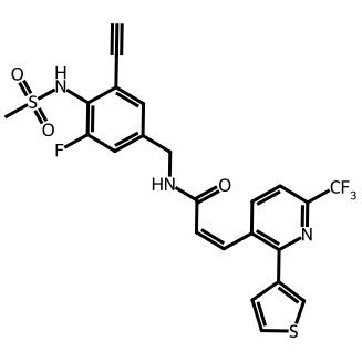 C#Cc1cc(CNC(=O)/C=C\c2ccc(C(F)(F)F)nc2-c2ccsc2)cc(F)c1NS(C)(=O)=O